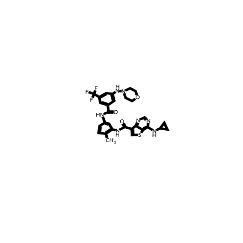 Cc1ccc(NC(=O)c2cc(NN3CCOCC3)cc(C(F)(F)F)c2)cc1NC(=O)c1csc2c(NC3CC3)ncnc12